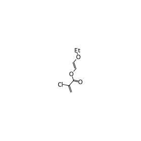 C=C(Cl)C(=O)OC=COCC